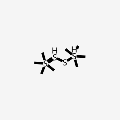 CS(C)(C)(C)=[SH]S[SH](C)(C)(C)C